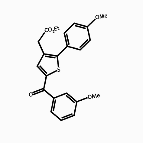 CCOC(=O)Cc1cc(C(=O)c2cccc(OC)c2)sc1-c1ccc(OC)cc1